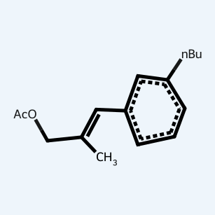 CCCCc1cccc(/C=C(\C)COC(C)=O)c1